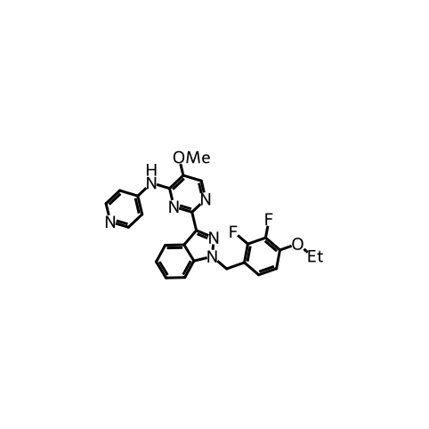 CCOc1ccc(Cn2nc(-c3ncc(OC)c(Nc4ccncc4)n3)c3ccccc32)c(F)c1F